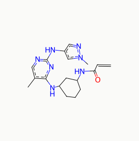 C=CC(=O)NC1CCCC(Nc2nc(Nc3cnn(C)c3)ncc2C)C1